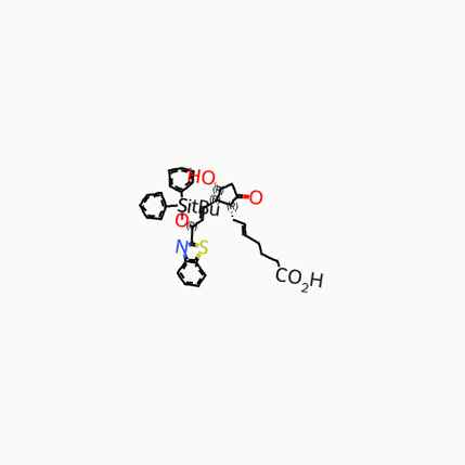 CC(C)(C)[Si](O[C@H](C=C[C@H]1[C@H](O)CC(=O)[C@@H]1CC=CCCCC(=O)O)c1nc2ccccc2s1)(c1ccccc1)c1ccccc1